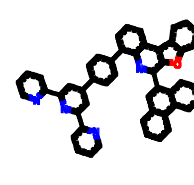 c1ccc(-c2cc(-c3ccc(-c4cccc5c4nc(-c4cc6ccccc6c6ccccc46)c4oc6ccccc6c45)cc3)cc(-c3ccccn3)n2)nc1